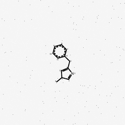 CC1C=NC(Cc2ccccc2)=C1